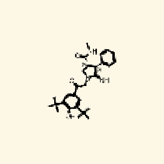 CNC(=O)[C@H]1CN(CC(=O)c2cc(C(C)(C)C)c(O)c(C(C)(C)C)c2)C(=N)[C@@H]1c1ccccc1